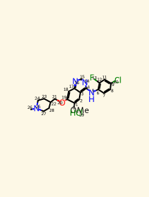 COc1cc2c(Nc3ccc(Cl)cc3F)ncnc2cc1OCC1CCN(C)CC1.Cl